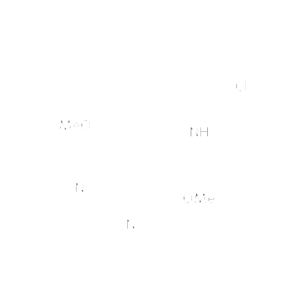 COc1ncnc(OC)c1-c1ccc(Cl)[nH]1